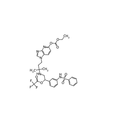 CCOC(=O)Oc1ccc2c(ncn2CCC(C)(C)NCC(OC(=O)C(F)(F)F)c2cccc(NS(=O)(=O)c3ccccc3)c2)n1